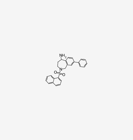 NC1CCN(S(=O)(=O)c2cccc3ccccc23)Cc2cc(-c3ccccc3)ccc21